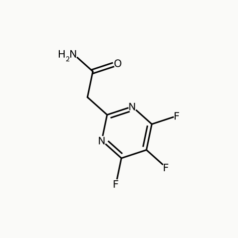 NC(=O)Cc1nc(F)c(F)c(F)n1